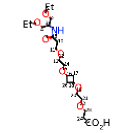 CCOCC(COCC)NC(=O)CCOCCOC1CC(OCCOCCC(=O)O)C1